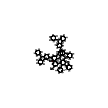 N#Cc1cc(C#N)cc(-c2c(-n3c4ccccc4c4cc(-c5ccc6c(c5)c5ccccc5n6-c5ccccc5)ccc43)c(-n3c4ccccc4c4cc(-c5ccc6c(c5)c5ccccc5n6-c5ccccc5)ccc43)c3oc4ccccc4c3c2-c2ccccc2)c1